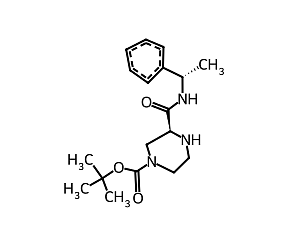 C[C@H](NC(=O)[C@@H]1CN(C(=O)OC(C)(C)C)CCN1)c1ccccc1